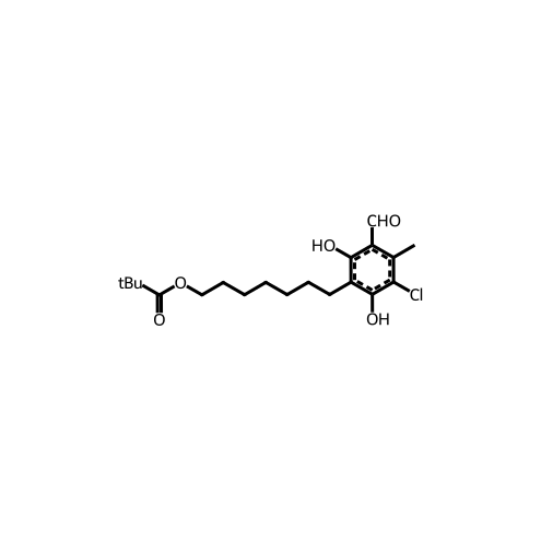 Cc1c(Cl)c(O)c(CCCCCCCOC(=O)C(C)(C)C)c(O)c1C=O